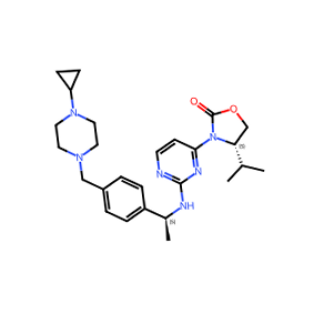 CC(C)[C@H]1COC(=O)N1c1ccnc(N[C@@H](C)c2ccc(CN3CCN(C4CC4)CC3)cc2)n1